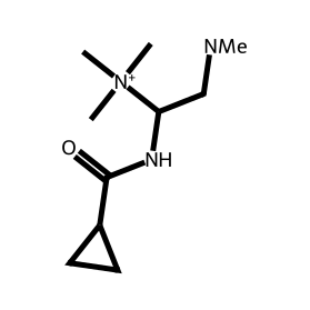 CNCC(NC(=O)C1CC1)[N+](C)(C)C